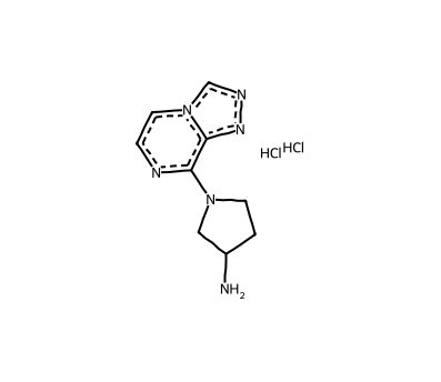 Cl.Cl.NC1CCN(c2nccn3cnnc23)C1